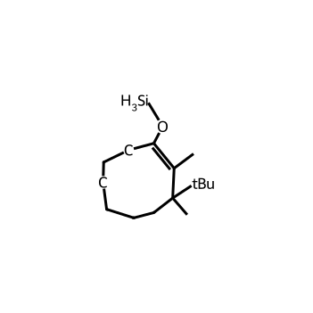 CC1=C(O[SiH3])CCCCCCC1(C)C(C)(C)C